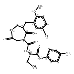 CC[C@@H](NC(=O)N1CC(=O)NCC(Cc2cc(Cl)ccc2OC)C1=O)C(=O)Nc1ccc(N)cc1